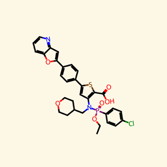 CCOP(=O)(c1ccc(Cl)cc1)N(CC1CCOCC1)c1cc(-c2ccc(-c3cc4ncccc4o3)cc2)sc1C(=O)O